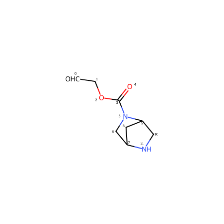 O=CCOC(=O)N1CC2CC1CN2